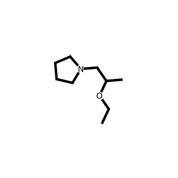 CCOC(C)CN1[CH]CCC1